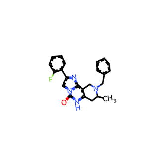 CC1Cc2[nH]c(=O)n3cc(-c4ccccc4F)nc3c2CN1Cc1ccccc1